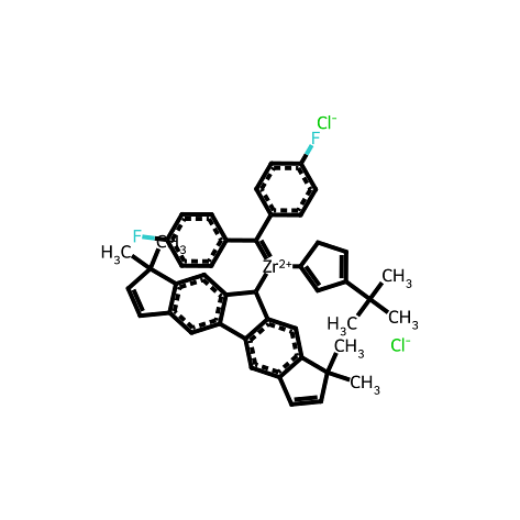 CC(C)(C)C1=CC[C]([Zr+2](=[C](c2ccc(F)cc2)c2ccc(F)cc2)[CH]2c3cc4c(cc3-c3cc5c(cc32)C(C)(C)C=C5)C=CC4(C)C)=C1.[Cl-].[Cl-]